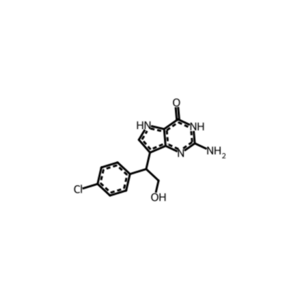 Nc1nc2c(C(CO)c3ccc(Cl)cc3)c[nH]c2c(=O)[nH]1